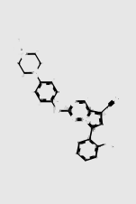 COc1ccccc1-c1cc(C#N)c2cnc(Nc3ccc(N4CCN(C)CC4)cc3)nn12